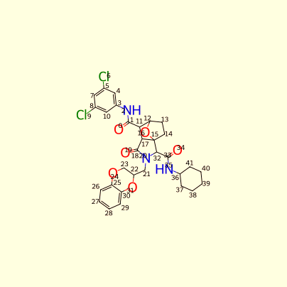 O=C(Nc1cc(Cl)cc(Cl)c1)C1C2CCC3(O2)C1C(=O)N(CC1COc2ccccc2O1)C3C(=O)NC1CCCCC1